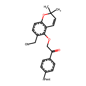 CCCCCc1ccc(C(=O)COc2c(CN=O)ccc3c2C=CC(C)(C)O3)cc1